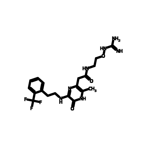 Cc1[nH]c(=O)c(NCCc2ccccc2C(F)(F)F)nc1CC(=O)NCCONC(=N)N